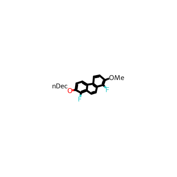 CCCCCCCCCCOc1ccc2c(ccc3c(F)c(OC)ccc32)c1F